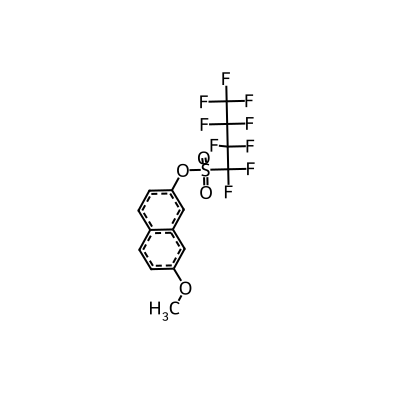 COc1ccc2ccc(OS(=O)(=O)C(F)(F)C(F)(F)C(F)(F)C(F)(F)F)cc2c1